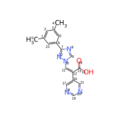 Cc1cc(C)cc(-c2ncn(/C=C(\C(=O)O)c3cncnc3)n2)c1